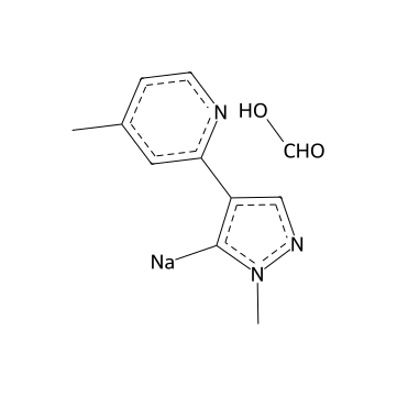 Cc1ccnc(-c2cnn(C)[c]2[Na])c1.O=CO